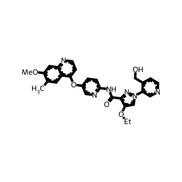 CCOc1cn(-c2cnccc2CO)nc1C(=O)Nc1ccc(Oc2ccnc3cc(OC)c(C)cc23)cn1